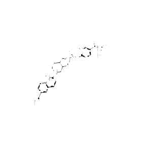 N#Cc1ccc2nc(N3CCC4CN(C(=O)Nc5ccc(C(=O)NO)cn5)CC4C3)ccc2c1